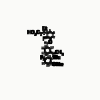 CC[C@@H](CC(=O)O)c1cccc(OCc2ccc(-c3cc(OC)ccc3F)c([C@H](C)C(C)(C)C)c2)c1F